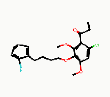 CCC(=O)c1c(Cl)cc(OC)c(OCCCCc2ccccc2F)c1OC